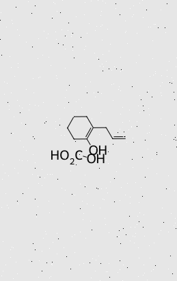 C=CCC1=C(O)CCCC1.O=C(O)O